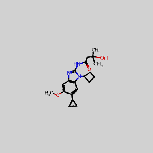 COc1cc2nc(NC(=O)CC(C)(C)O)n(C3CCC3)c2cc1C1CC1